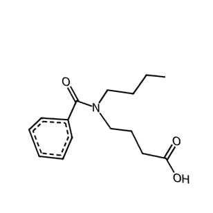 CCCCN(CCCC(=O)O)C(=O)c1ccccc1